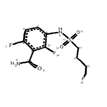 NC(=O)c1c(F)ccc(NS(=O)(=O)CCCF)c1F